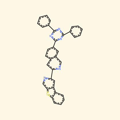 c1ccc(-c2nc(-c3ccccc3)nc(-c3ccc4cc(-c5cc6c(cn5)sc5ccccc56)ncc4c3)n2)cc1